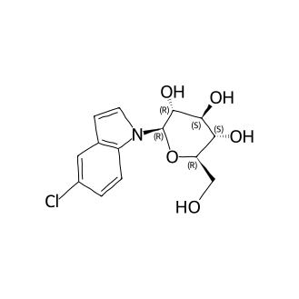 OC[C@H]1O[C@@H](n2ccc3cc(Cl)ccc32)[C@H](O)[C@@H](O)[C@@H]1O